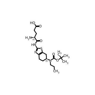 CCCN(C(=O)OC(C)(C)C)[C@H]1CCc2nc(NC(=O)[C@@H](N)CCC(=O)O)sc2C1